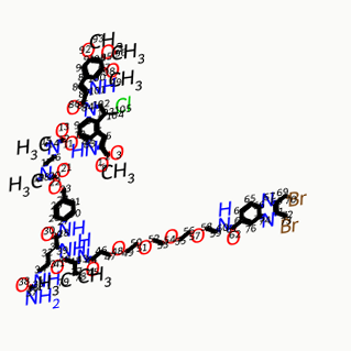 COC(=O)c1cc2c3c(cc(OC(=O)N(C)CCN(C)C(=O)OCc4ccc(NC(=O)[C@H](CCCNC(N)=O)NC(=O)[C@@H](NC(=O)CCOCCOCCOCCOCCNC(=O)c5ccc6nc(CBr)c(CBr)nc6c5)C(C)C)cc4)c2[nH]1)N(C(=O)c1cc2cc(OC)c(OC)c(OC)c2[nH]1)C[C@H]3CCl